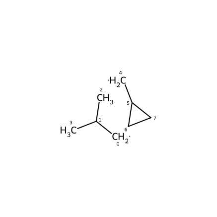 [CH2]C(C)C.[CH2]C1CC1